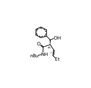 CC/C=C/[C@@H](C(=O)NCCCC)C(O)c1ccccc1